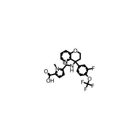 Cn1c(C(=O)O)ccc1C(=O)NC1(c2ccc(OC(F)(F)F)c(F)c2)CCOc2cccnc21